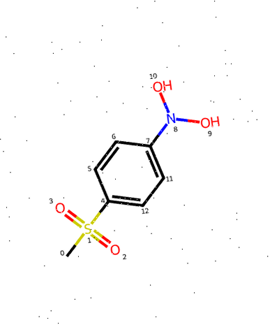 CS(=O)(=O)c1ccc(N(O)O)cc1